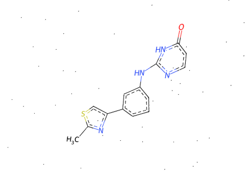 Cc1nc(-c2cccc(Nc3nccc(=O)[nH]3)c2)cs1